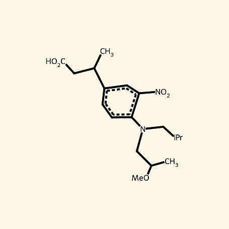 COC(C)CN(CC(C)C)c1ccc(C(C)CC(=O)O)cc1[N+](=O)[O-]